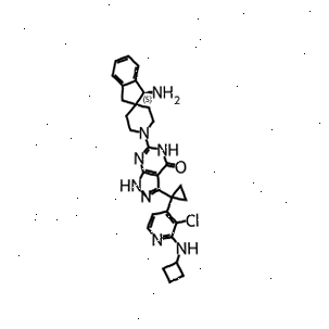 N[C@@H]1c2ccccc2CC12CCN(c1nc3[nH]nc(C4(c5ccnc(NC6CCC6)c5Cl)CC4)c3c(=O)[nH]1)CC2